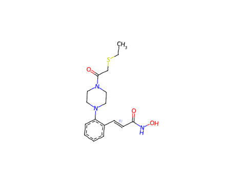 CCSCC(=O)N1CCN(c2ccccc2/C=C/C(=O)NO)CC1